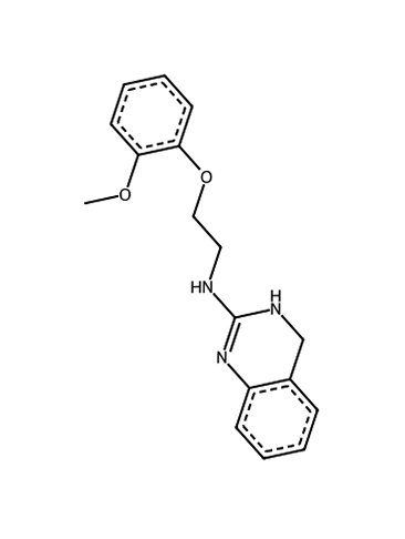 COc1ccccc1OCCNC1=Nc2ccccc2CN1